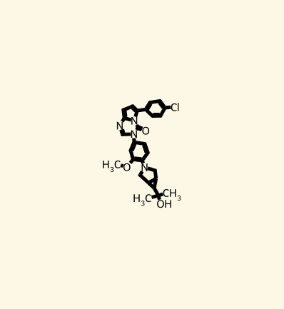 COc1cc(-n2cnc3ccc(-c4ccc(Cl)cc4)n3c2=O)ccc1N1CC2C(C1)C2C(C)(C)O